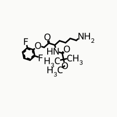 COC(C)(C)C(=O)NC(CCCCN)C(=O)COc1c(F)cccc1F